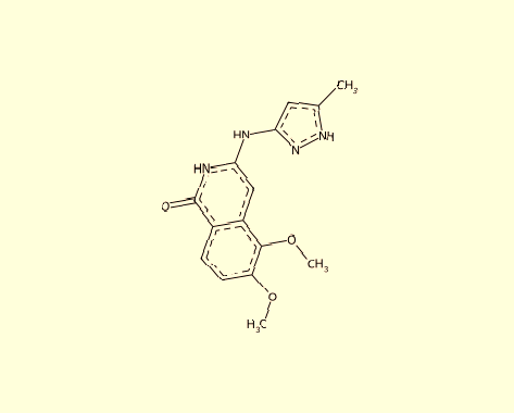 COc1ccc2c(=O)[nH]c(Nc3cc(C)[nH]n3)cc2c1OC